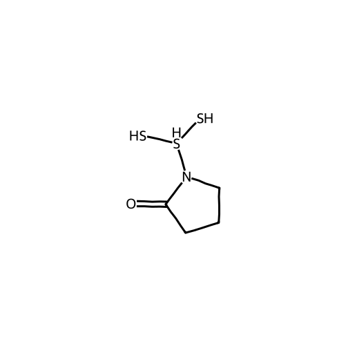 O=C1CCCN1[SH](S)S